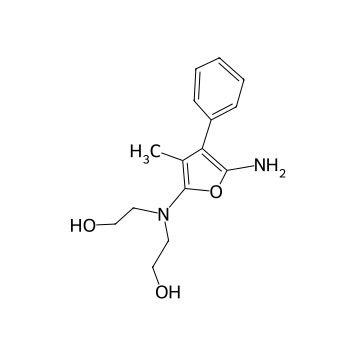 Cc1c(N(CCO)CCO)oc(N)c1-c1ccccc1